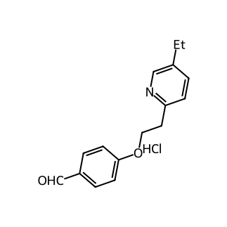 CCc1ccc(CCOc2ccc(C=O)cc2)nc1.Cl